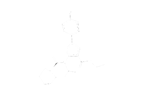 CCOC(=O)c1cc(-c2ccc(Br)cc2)oc1N(C(=O)[C@H]1CC[C@H](C)CC1)C(C)C